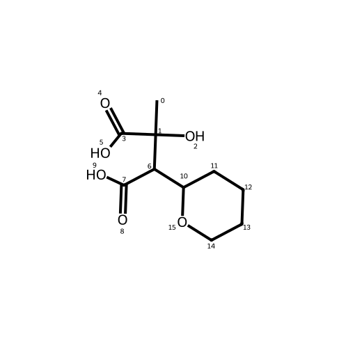 CC(O)(C(=O)O)C(C(=O)O)C1CCCCO1